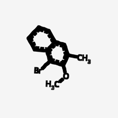 COc1c(C)cc2ccccc2c1Br